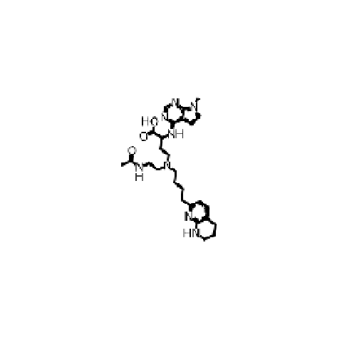 CC(=O)NCCN(CCCCc1ccc2c(n1)NCCC2)CCC(Nc1ncnc2c1ccn2C)C(=O)O